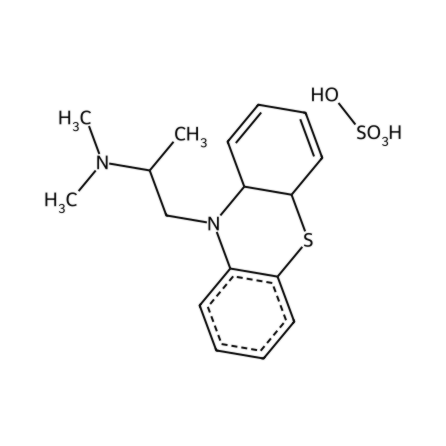 CC(CN1c2ccccc2SC2C=CC=CC21)N(C)C.O=S(=O)(O)O